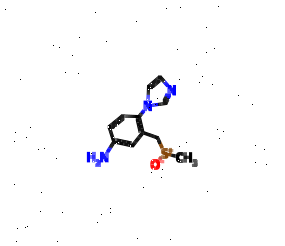 C[S+]([O-])Cc1cc(N)ccc1-n1ccnc1